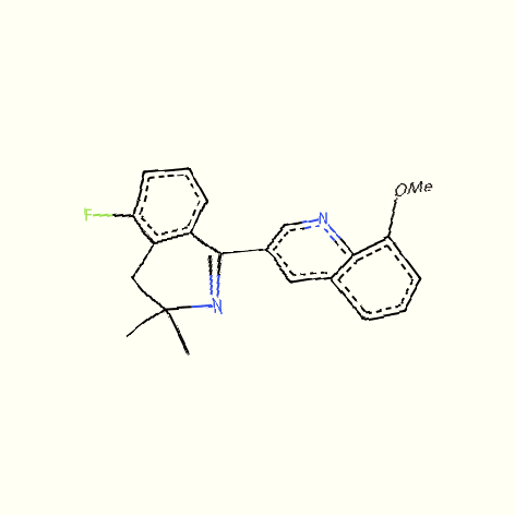 COc1cccc2cc(C3=NC(C)(C)Cc4c(F)cccc43)cnc12